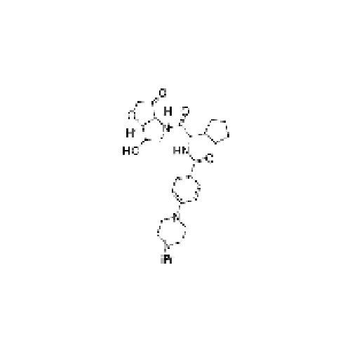 CC(C)N1CCN(c2ccc(C(=O)N[C@H](C(=O)N3C[C@@H](O)[C@H]4OCC(=O)[C@H]43)C3CCCC3)cc2)CC1